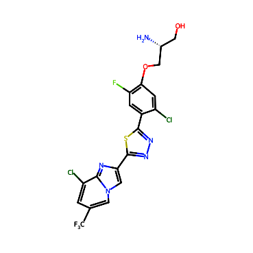 N[C@H](CO)COc1cc(Cl)c(-c2nnc(-c3cn4cc(C(F)(F)F)cc(Cl)c4n3)s2)cc1F